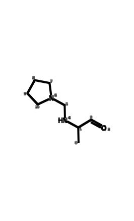 CC([C]=O)NCN1CCCC1